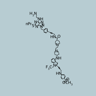 CCCSc1nc(NCCN)c2nnn(Cc3ccc(C#CCNC(=O)C4CCN(CCN5CCC(Nc6cccc7c6cc(C#CCNc6ccc(S(C)(=O)=O)cc6)n7CC(F)(F)F)CC5)CC4)cc3)c2n1